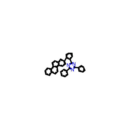 c1ccc(-c2nc(-c3ccccc3)nc(-c3ccccc3-c3ccc4c(ccc5c6ccccc6ccc45)c3)n2)cc1